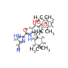 C[C@@H]1C2(C)C=CC(C)(O2)[C@H](C)[C@@]1(O)C1C=CC(NC(=O)c2nc(C#N)c[nH]2)=C(C2=CCC(C)(C)CC2)C1